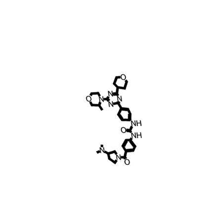 CC1COCCN1c1nc(-c2ccc(NC(=O)Nc3ccc(C(=O)N4CCC(N(C)C)C4)cc3)cc2)nc(C2CCOCC2)n1